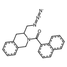 [N-]=[N+]=NCC1Cc2ccccc2CN1C(=O)c1cccc2ccccc12